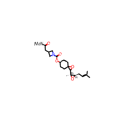 CNC(=O)CC1CN(C(=O)OC2CCC3(CC2)OC3[C@]2(C)O[C@@H]2CC=C(C)C)C1